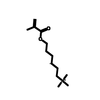 C=C(C)C(=O)OCCC[CH]CC[N+](C)(C)C